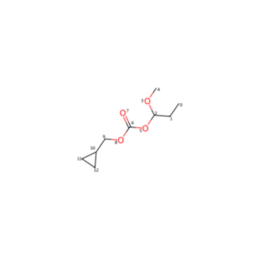 CCC(OC)OC(=O)OCC1CC1